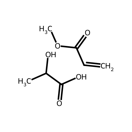 C=CC(=O)OC.CC(O)C(=O)O